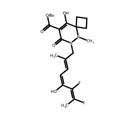 C\C(F)=C(F)/C(O)=C\C=C(/C)CN1C(=O)C(C(=O)OCC(C)C)=C(O)C2(CCC2)N1C